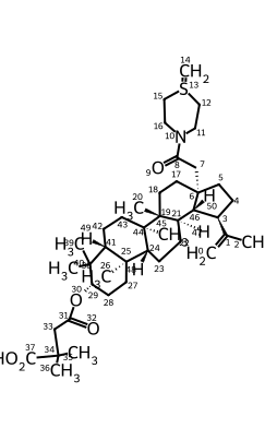 C=C(C)[C@@H]1CC[C@]2(CC(=O)N3CCS(=C)CC3)CC[C@]3(C)[C@H](CC[C@@H]4[C@@]5(C)CC[C@H](OC(=O)CC(C)(C)C(=O)O)C(C)(C)[C@@H]5CC[C@]43C)[C@@H]12